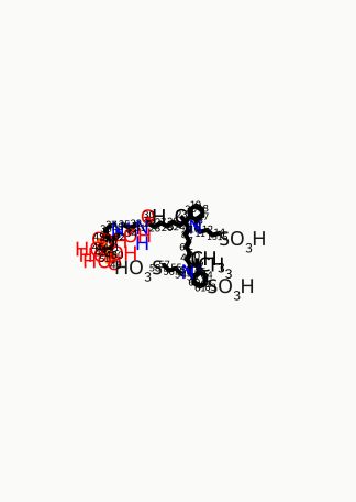 CC1(C)C(C=CC=CC=C2N(CCCCS(=O)(=O)O)c3ccccc3C2(C)CCCCCC(=O)NCC(O)C[n+]2cccc(CC(O)(P(=O)(O)O)P(=O)(O)O)c2)=[N+](CCCCS(=O)(=O)O)c2ccc(S(=O)(=O)O)cc21